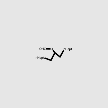 CCCCCCCCC(CCCCCCCC)OC=O